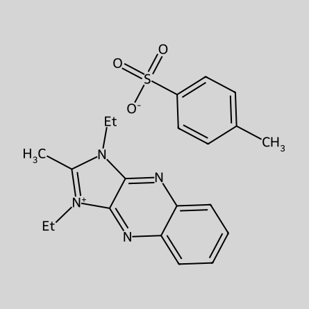 CCn1c(C)[n+](CC)c2nc3ccccc3nc21.Cc1ccc(S(=O)(=O)[O-])cc1